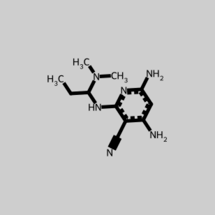 CCC(Nc1nc(N)cc(N)c1C#N)N(C)C